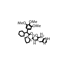 COc1cc(C(C(=O)N2CCCC[C@H]2C(=O)N[C@@H](Cc2c[nH]cn2)C(N)=O)C2CCCCC2)cc(OC)c1OC